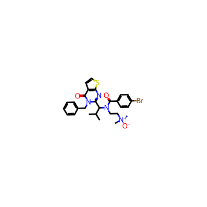 CC(C)C(c1nc2sccc2c(=O)n1Cc1ccccc1)N(CC[N+](C)(C)[O-])C(=O)c1ccc(Br)cc1